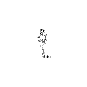 CCN1CCN(CCC#CC(C)(C)C)CC1